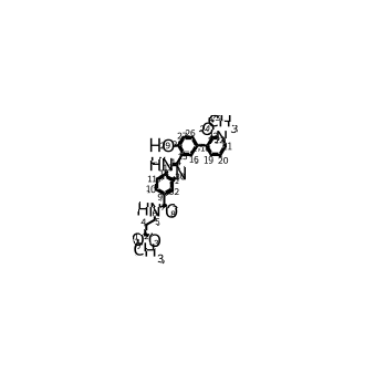 COC(=O)CCNC(=O)c1ccc2[nH]c(-c3cc(-c4cccnc4OC)ccc3O)nc2c1